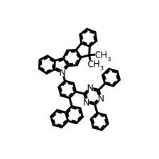 CC1(C)c2ccccc2-c2cc3c4ccccc4n(-c4ccc(-c5cccc6ccccc56)c(-c5nc(-c6ccccc6)nc(-c6ccccc6)n5)c4)c3cc21